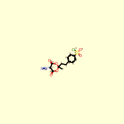 CC1(CCc2ccc(S(=O)(=O)Cl)cc2)OC(=O)C(=[N+]=[N-])C(=O)O1